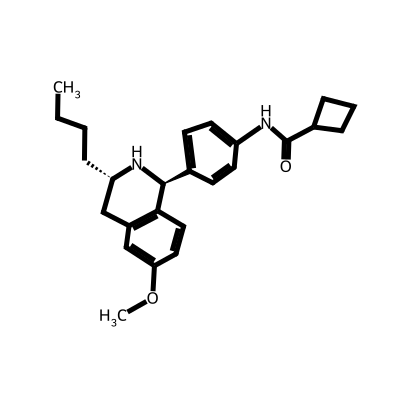 CCCC[C@H]1Cc2cc(OC)ccc2[C@H](c2ccc(NC(=O)C3CCC3)cc2)N1